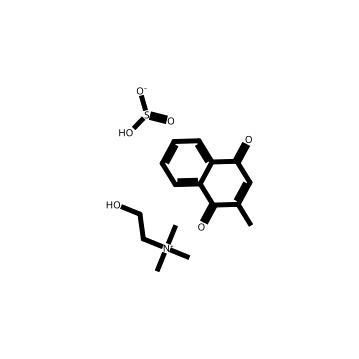 CC1=CC(=O)c2ccccc2C1=O.C[N+](C)(C)CCO.O=S([O-])O